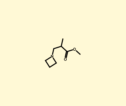 COC(=O)C(C)CN1CCC1